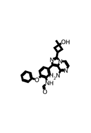 CC1(O)CC(c2nc(-c3ccc(Oc4ccccc4)c(NC=O)c3)c3c(N)nccn23)C1